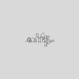 Cc1ccc(C[C@H](/N=C\B=O)C(=O)N[C@@H](CC(C)C)B2O[C@@H]3C[C@@H]4C[C@@H](C4(C)C)[C@]3(C)O2)cc1